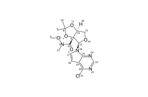 CON(C)C(=O)[C@@]12OC(C)(C)O[C@H]1CO[C@H]2n1ccc2c(Cl)ncnc21